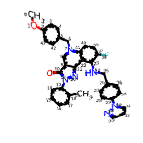 COc1ccc(Cn2cc3c(=O)n(-c4ccccc4C)nc-3c3c(NCc4ccc(-n5cccn5)cc4)c(F)ccc32)cc1